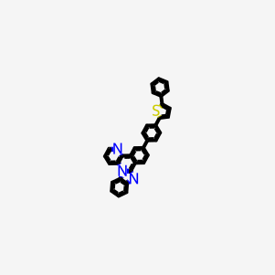 c1ccc(-c2ccc(-c3ccc(-c4ccc5c(c4)c4ncccc4n4c6ccccc6nc54)cc3)s2)cc1